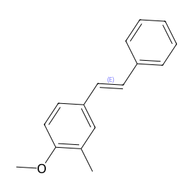 COc1ccc(/C=C/c2ccccc2)cc1C